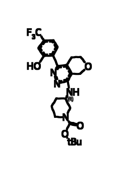 CC(C)(C)OC(=O)N1CCC[C@@H](Nc2nnc(-c3ccc(C(F)(F)F)cc3O)c3c2COCC3)C1